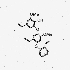 C=Cc1cc(OC)c(O)c(Oc2cc(C=C)c(Oc3ccccc3C=C)cc2OC)c1